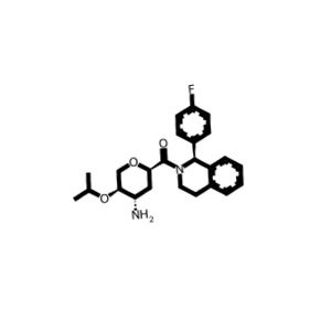 CC(C)O[C@H]1CO[C@@H](C(=O)N2CCc3ccccc3[C@@H]2c2ccc(F)cc2)C[C@@H]1N